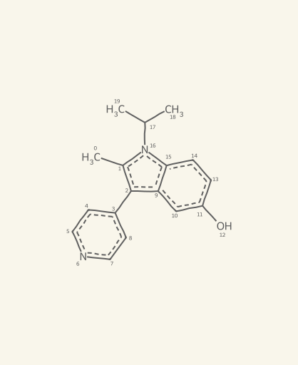 Cc1c(-c2ccncc2)c2cc(O)ccc2n1C(C)C